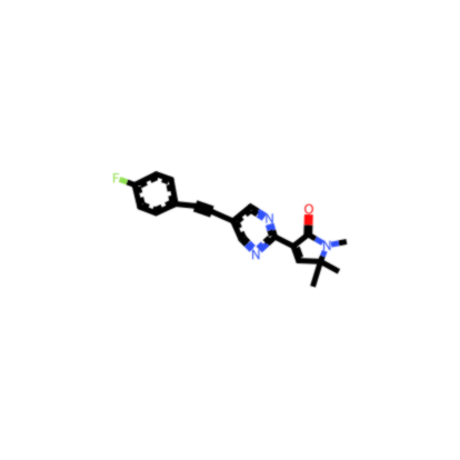 CN1C(=O)C(c2ncc(C#Cc3ccc(F)cc3)cn2)=CC1(C)C